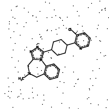 CN1Cc2ccccc2-n2c(nnc2C2CCC(c3ncccc3Cl)CC2)C1